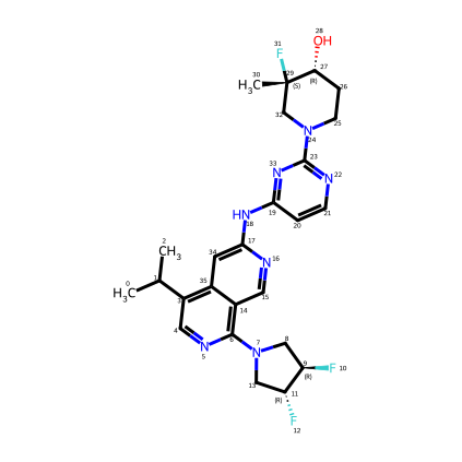 CC(C)c1cnc(N2C[C@@H](F)[C@H](F)C2)c2cnc(Nc3ccnc(N4CC[C@@H](O)[C@@](C)(F)C4)n3)cc12